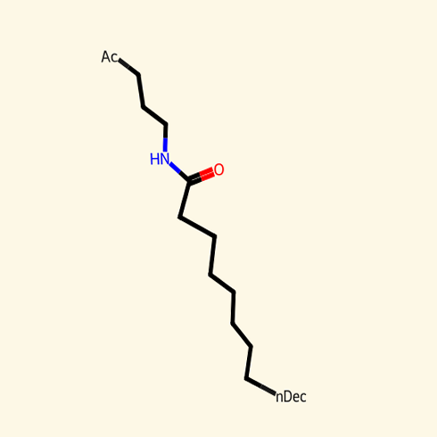 CCCCCCCCCCCCCCCCCC(=O)NCCCC(C)=O